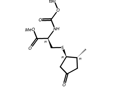 COC(=O)[C@H](CS[C@@H]1CC(=O)C[C@H]1C)NC(=O)OC(C)(C)C